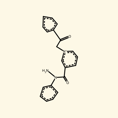 NN(C(=O)c1ccc[n+](CC(=O)c2ccccc2)c1)c1ccccc1